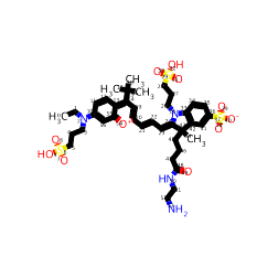 CCN(CCCS(=O)(=O)O)c1ccc2c(C(C)(C)C)cc(/C=C/C=C3\N(CCCS(=O)(=O)O)c4ccc(S(=O)(=O)[O-])cc4C3(C)CCCC(=O)NCCN)[o+]c2c1